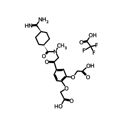 CN(CC(=O)c1ccc(OCC(=O)O)c(OCC(=O)O)c1)C(=O)[C@H]1CC[C@H](C(=N)N)CC1.O=C(O)C(F)(F)F